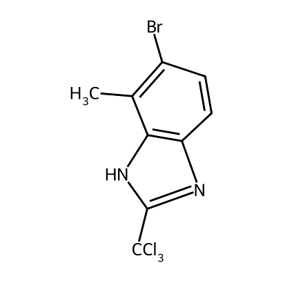 Cc1c(Br)ccc2nc(C(Cl)(Cl)Cl)[nH]c12